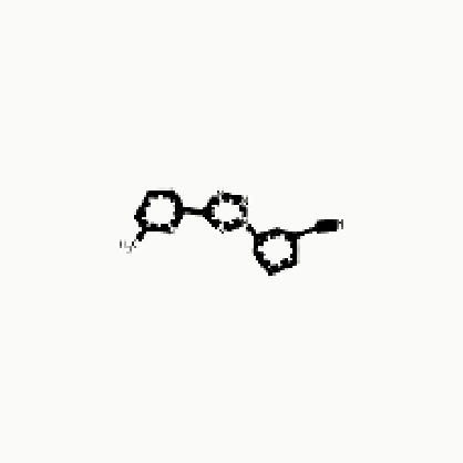 Cc1cccc(-c2nnn(-c3cccc(C#N)c3)n2)n1